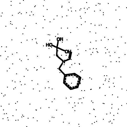 C=CN(Cc1ccccc1)CC(O)(O)O